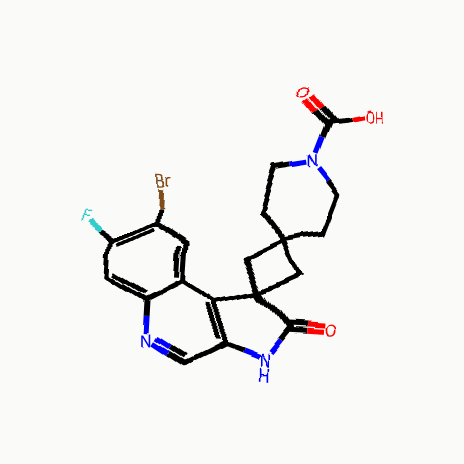 O=C(O)N1CCC2(CC1)CC1(C2)C(=O)Nc2cnc3cc(F)c(Br)cc3c21